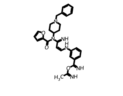 CC(=N)OC(=N)c1cccc(N/C=C\C(=N)N(C(=O)c2ccco2)C2CCN(Cc3ccccc3)CC2)c1